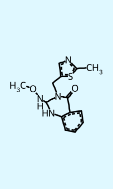 CONC1Nc2ccccc2C(=O)N1Cc1cnc(C)s1